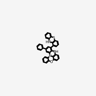 B1c2cccc3c2N(c2ccccc2O3)c2cc(-c3ccccc3)cc(-c3cccc4c3Nc3ccccc3S4)c21